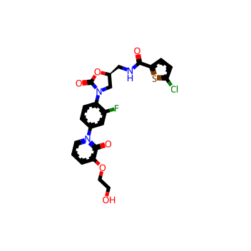 O=C(NC[C@H]1CN(c2ccc(-n3cccc(OCCO)c3=O)cc2F)C(=O)O1)c1ccc(Cl)s1